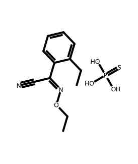 CCON=C(C#N)c1ccccc1CC.OP(O)(O)=S